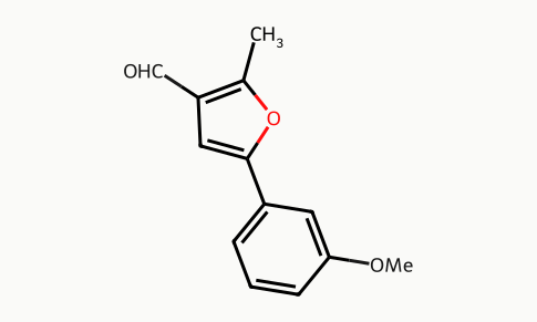 COc1cccc(-c2cc(C=O)c(C)o2)c1